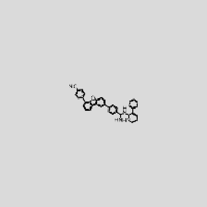 N#Cc1ccc(-c2cccc3c2oc2ccc(-c4ccc(C(=N)NC5NC=CC=C5c5ccccc5)cc4)cc23)cc1